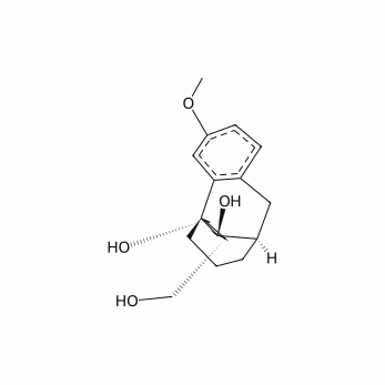 COc1ccc2c(c1)[C@]13CCC[C@H](C2)[C@]1(O)C[C@H](CO)[C@H](O)C3